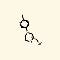 Cc1ccc(N2CCO[C@H](CO)C2)cn1